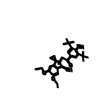 CCOc1cc2c(cc1OCC)C1(CC1)N(CC(=O)c1cc(C(C)(C)C)c(O)c(C(C)(C)C)c1)C2=N